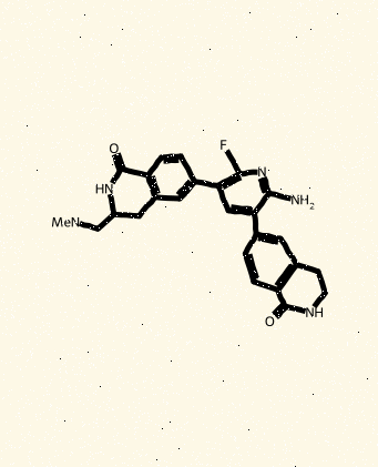 CNCC1Cc2cc(-c3cc(-c4ccc5c(c4)CCNC5=O)c(N)nc3F)ccc2C(=O)N1